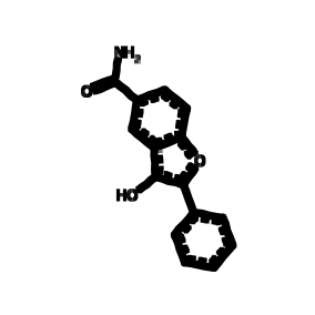 NC(=O)c1ccc2oc(-c3ccccc3)c(O)c2c1